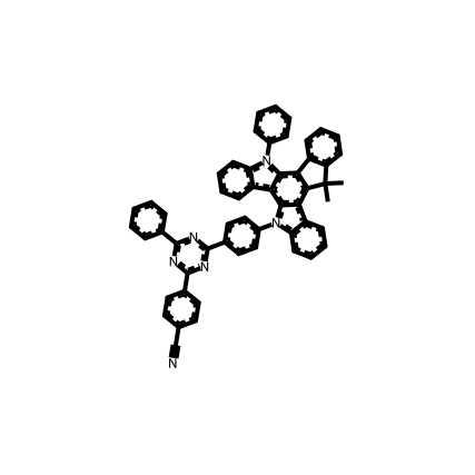 CC1(C)c2ccccc2-c2c1c1c3ccccc3n(-c3ccc(-c4nc(-c5ccccc5)nc(-c5ccc(C#N)cc5)n4)cc3)c1c1c3ccccc3n(-c3ccccc3)c21